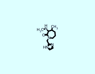 CNC1C(=O)N(Cc2ncc[nH]2)CCCC1C